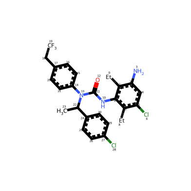 CCc1c(N)cc(Cl)c(CC)c1NC(=O)N(c1ccc(CC(F)(F)F)cc1)C(C)c1ccc(Cl)cc1